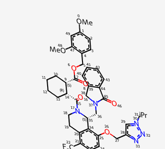 COc1ccc(COC(=O)[C@H]2CCCC[C@H]2C(=O)N2CCc3c(C(F)(F)F)ccc(OCc4cn(C(C)C)nn4)c3[C@H]2CN2Cc3ccccc3C2=O)c(OC)c1